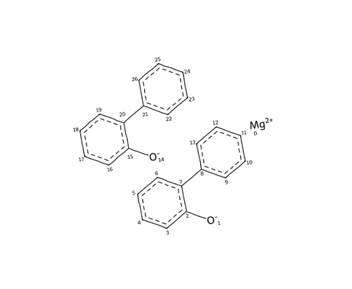 [Mg+2].[O-]c1ccccc1-c1ccccc1.[O-]c1ccccc1-c1ccccc1